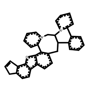 C1=Cc2c(ccc3c2oc2c4c(ccc23)CC2c3ccccc3-c3cccc[n+]3C2C[n+]2ccccc2-4)C1